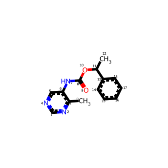 Cc1ncncc1NC(=O)OC(C)c1ccccc1